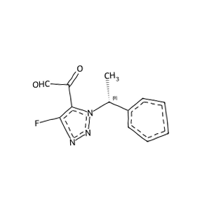 C[C@H](c1ccccc1)n1nnc(F)c1C(=O)C=O